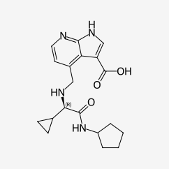 O=C(O)c1c[nH]c2nccc(CN[C@@H](C(=O)NC3CCCC3)C3CC3)c12